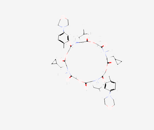 CC(C)C[C@H]1C(=O)O[C@H](C)C(=O)N(C)[C@@H](CC2CC2)C(=O)O[C@H](Cc2ccc(N3CCOCC3)cc2)C(=O)N(C)[C@@H](CC(C)C)C(=O)O[C@H](C)C(=O)N(C)[C@@H](CC2CC2)C(=O)O[C@H](Cc2ccc(N3CCOCC3)cc2)C(=O)N1C